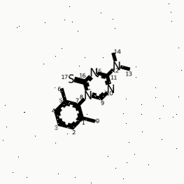 Cc1cccc(C)c1-n1cnc(N(C)C)nc1=S